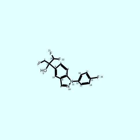 OC(CF)(c1ccc2c(cnn2-c2ccc(F)cc2)c1)C(F)F